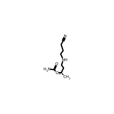 C[C@H](CCNCCCC#N)OC(N)=O